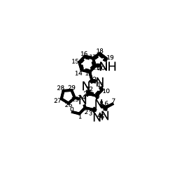 CCC1c2nnc(C)n2-c2cnc(-c3cccc4cc[nH]c34)nc2N1C1CCCC1